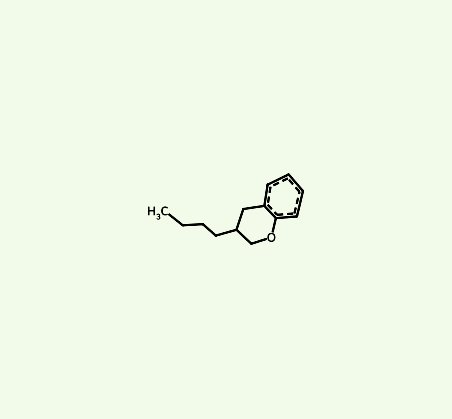 CCCCC1COc2ccccc2C1